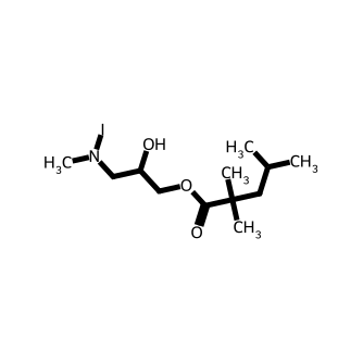 CC(C)CC(C)(C)C(=O)OCC(O)CN(C)I